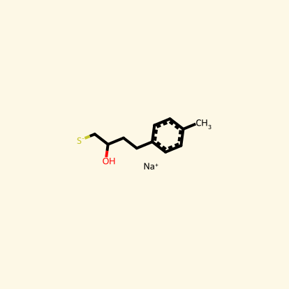 Cc1ccc(CCC(O)C[S-])cc1.[Na+]